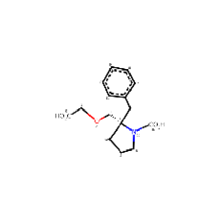 O=C(O)COC[C@@]1(Cc2ccccc2)CCCN1C(=O)O